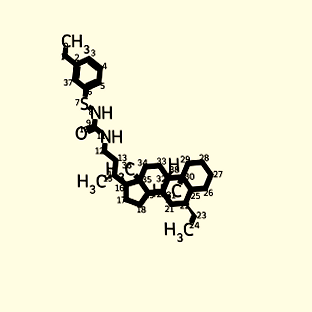 CCc1cccc(SNC(=O)NCC[C@@H](C)C2CCC3C4C[C@H](CC)C5CCCCC5(C)[C@H]4CCC32C)c1